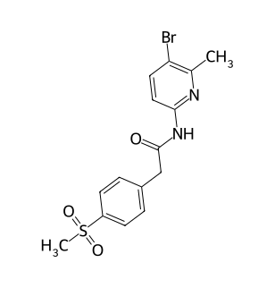 Cc1nc(NC(=O)Cc2ccc(S(C)(=O)=O)cc2)ccc1Br